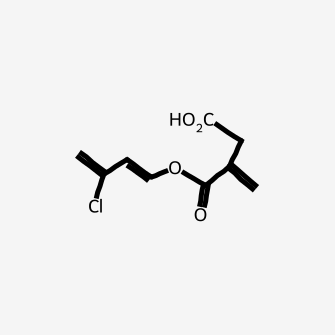 C=C(Cl)C=COC(=O)C(=C)CC(=O)O